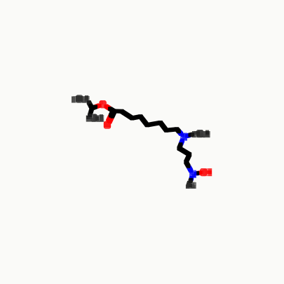 CCCCCCCCC(CCCCCCCC)OC(=O)CCCCCCCN(CCCCCCCC)CCCN(O)C(C)=O